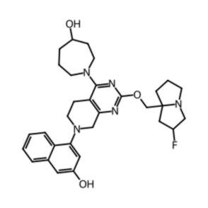 Oc1cc(N2CCc3c(nc(OCC45CCCN4CC(F)C5)nc3N3CCCC(O)CC3)C2)c2ccccc2c1